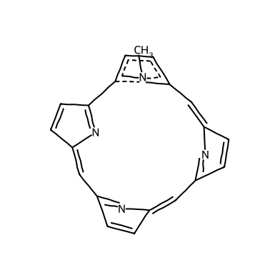 Cn1c2ccc1C1=NC(=CC3=NC(=CC4=NC(=C2)C=C4)C=C3)C=C1